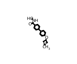 CN1CC(Oc2ccc(-c3ccc(C(=O)NO)cc3)cc2)C1